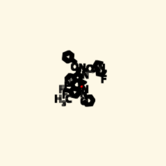 Cc1cc2c(cnn2C2CCCCO2)c(-c2nccc3c2C2(CC2)c2nc(OC[C@@]45CCCN4C[C@H](F)C5)nc(OCc4ccccc4)c2-3)c1C(F)(F)F